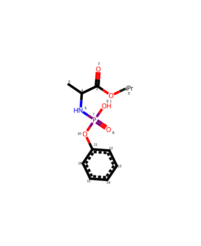 CC(C)OC(=O)C(C)NP(=O)(O)Oc1ccccc1